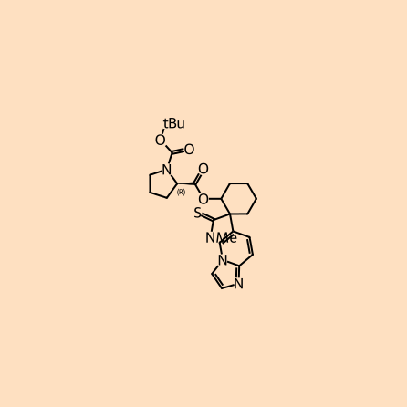 CNC(=S)C1(c2ccc3nccn3c2)CCCCC1OC(=O)[C@H]1CCCN1C(=O)OC(C)(C)C